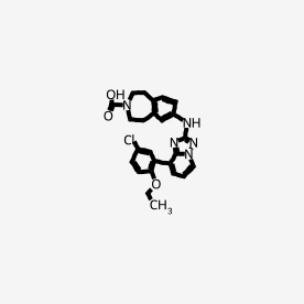 CCOc1ccc(Cl)cc1-c1cccn2nc(Nc3ccc4c(c3)CCN(C(=O)O)CC4)nc12